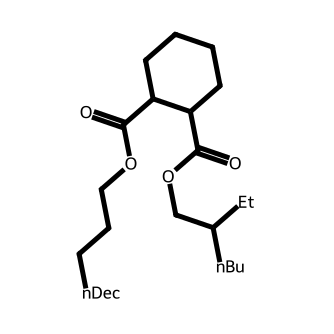 CCCCCCCCCCCCCOC(=O)C1CCCCC1C(=O)OCC(CC)CCCC